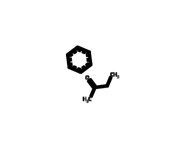 CCC(C)=O.c1ccccc1